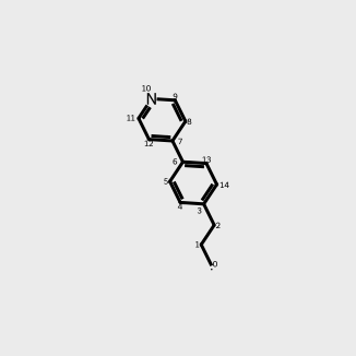 [CH2]CCc1ccc(-c2ccncc2)cc1